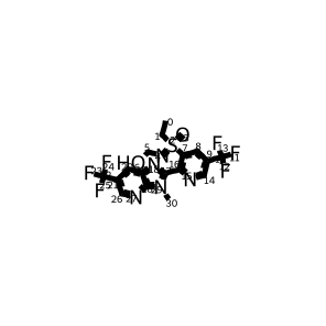 CCS(=O)(=NCO)c1cc(C(F)(F)F)cnc1-c1nc2cc(C(F)(F)F)cnc2n1C